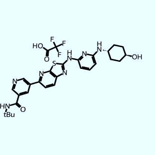 CC(C)(C)NC(=O)c1cncc(-c2ccc3nc(Nc4cccc(N[C@H]5CC[C@H](O)CC5)n4)sc3n2)c1.O=C(O)C(F)(F)F